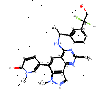 Cc1nc(NC(C)c2cccc(C(F)(F)CO)c2)c2cc(-c3ccc(=O)n(C)c3)c3c(cnn3C)c2n1